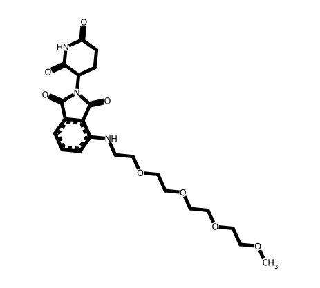 COCCOCCOCCOCCNc1cccc2c1C(=O)N(C1CCC(=O)NC1=O)C2=O